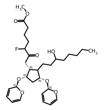 CCCCCC(O)CCC1[C@@H](CC(=O)C(F)CCCC(=O)OC)[C@@H](O[C@@H]2C=CC=CO2)C[C@H]1O[C@@H]1C=CC=CO1